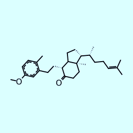 COc1ccc(C)c(CC[C@H]2C(=O)CC[C@@]3(C)C2CC[C@@H]3[C@H](C)CCC=C(C)C)c1